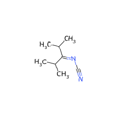 CC(C)C(=NC#N)C(C)C